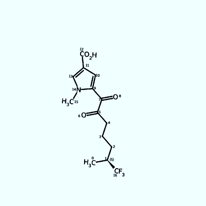 C[C@@H](CCCC(=O)C(=O)c1cc(C(=O)O)cn1C)C(F)(F)F